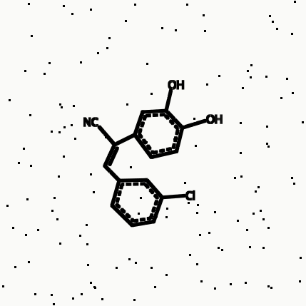 N#CC(=Cc1cccc(Cl)c1)c1ccc(O)c(O)c1